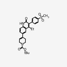 CCc1c(-c2ccc(S(C)(=O)=O)cc2)c(=O)[nH]c2ccc(C3=CCN(C(=O)OC(C)(C)C)CC3)cc12